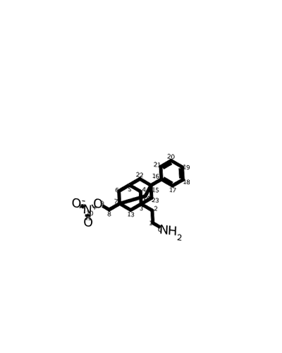 NCCC12CC3CC(CO[N+](=O)[O-])(C1)CC(c1ccccc1)(C3)C2